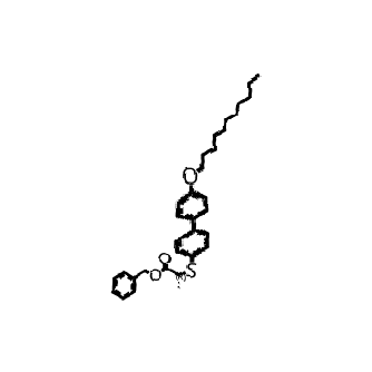 CCCCCCCCCCCOc1ccc(-c2ccc(S[C@H](C)C(=O)OCc3ccccc3)cc2)cc1